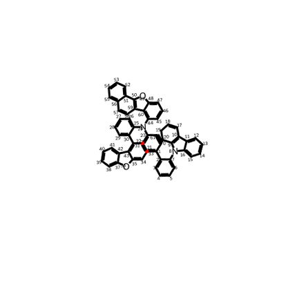 c1c(-c2ccccc2-n2c3c(c4ccccc42)C=CCC3)ccc(N(c2ccccc2-c2cccc3oc4ccccc4c23)c2cccc3oc4c5ccccc5ccc4c23)c#1